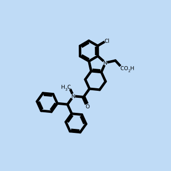 CN(C(=O)C1CCc2c(c3cccc(Cl)c3n2CC(=O)O)C1)C(c1ccccc1)c1ccccc1